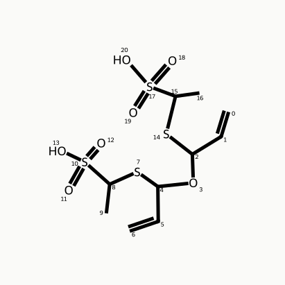 C=CC(OC(C=C)SC(C)S(=O)(=O)O)SC(C)S(=O)(=O)O